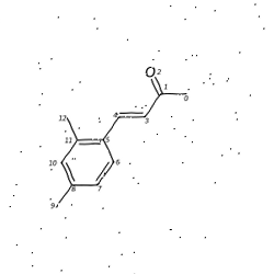 CC(=O)C=Cc1ccc(C)cc1C